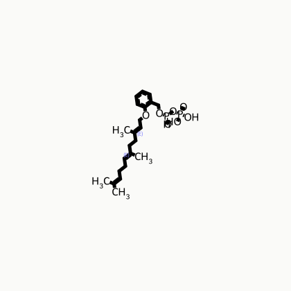 CC(C)=CCC/C=C(\C)CC/C(C)=C/COc1ccccc1CO[PH](=O)OP(=O)(O)O